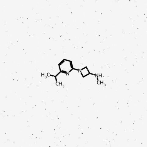 CNC1CN(c2cccc(C(C)C)n2)C1